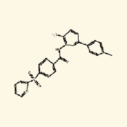 Nc1ccc(-c2ccc(F)cc2)cc1NC(=O)c1ccc(S(=O)(=O)c2ccccn2)cc1